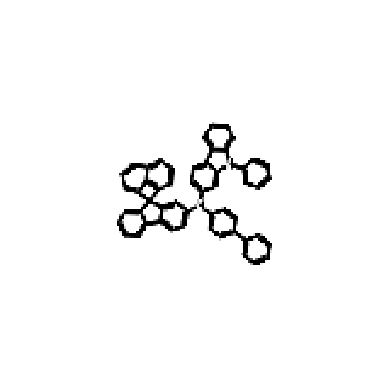 c1ccc(-c2ccc(N(c3ccc4c(c3)C3(c5ccccc5-4)c4cccc5cccc3c45)c3ccc4c5ccccc5n(-c5ccccc5)c4c3)cc2)cc1